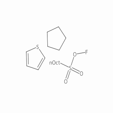 C1CCCC1.CCCCCCCCS(=O)(=O)OF.c1ccsc1